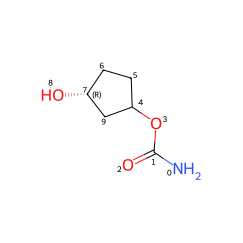 NC(=O)OC1CC[C@@H](O)C1